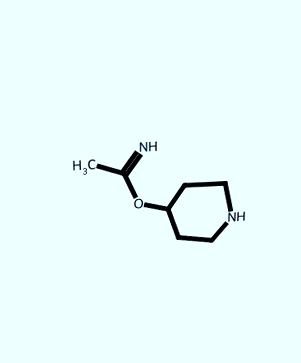 CC(=N)OC1CCNCC1